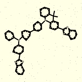 CC1(C)c2ccccc2N(c2ccc(-c3ccc(N(c4ccccc4)c4ccc(-c5nc6ccccc6o5)cc4)cc3)cc2)c2ccc(-c3nc4ccccc4o3)cc21